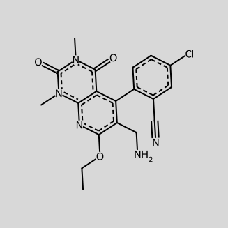 CCOc1nc2c(c(-c3ccc(Cl)cc3C#N)c1CN)c(=O)n(C)c(=O)n2C